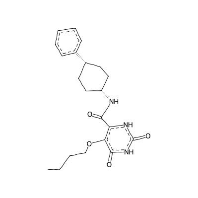 CCCCOc1c(C(=O)N[C@H]2CC[C@@H](c3ccccc3)CC2)[nH]c(=O)[nH]c1=O